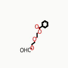 O=COCCOCCOC(=O)c1ccccc1